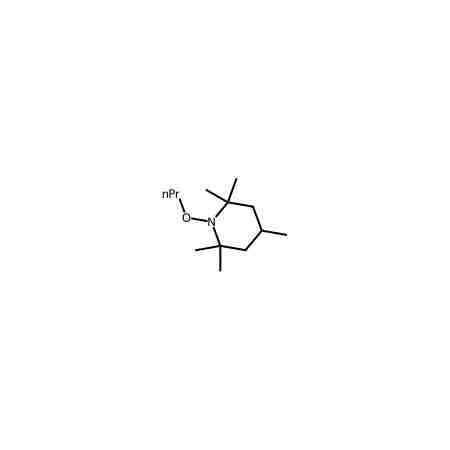 CCCON1C(C)(C)CC(C)CC1(C)C